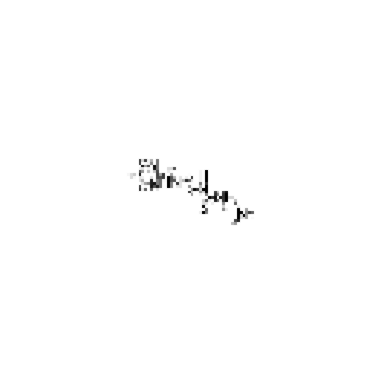 CN(C)CCNC(=S)NCCNCc1ncccn1